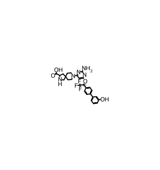 Nc1nc(O[C@H](c2ccc(-c3cccc(O)c3)cc2)C(F)(F)F)cc(N2CCC3(CC2)CNC(C(=O)O)C3)n1